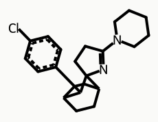 Clc1ccc(C2C3CCC(CC3)C23CCC(N2CCCCC2)=N3)cc1